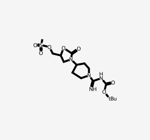 CC(C)(C)OC(=O)NC(=N)N1CCC(N2CC(COS(C)(=O)=O)OC2=O)CC1